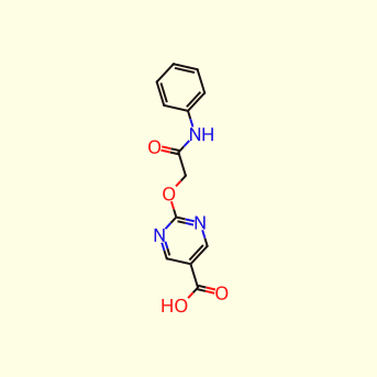 O=C(COc1ncc(C(=O)O)cn1)Nc1ccccc1